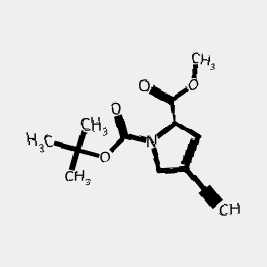 C#CC1=C[C@H](C(=O)OC)N(C(=O)OC(C)(C)C)C1